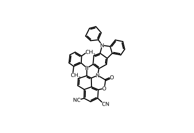 Cc1cccc(C)c1B1c2cc3c(cc2N2C(=O)Oc4c(C#N)cc(C#N)c5ccc1c2c45)c1ccccc1n3-c1ccccc1